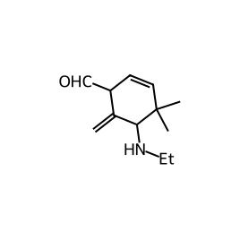 C=C1C(C=O)C=CC(C)(C)C1NCC